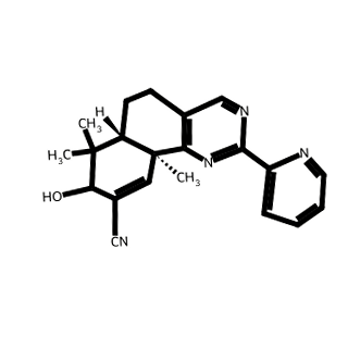 CC1(C)C(O)C(C#N)=C[C@]2(C)c3nc(-c4ccccn4)ncc3CC[C@@H]12